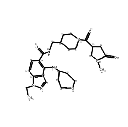 CCn1ncc2c(NC3CCOCC3)c(C(=O)NCC3CCN(C(=O)C4CC(=O)N(C)C4)CC3)cnc21